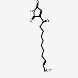 CCCCCCCCC=CCCCCCCCC(=O)C1=CC(=O)NC1=O